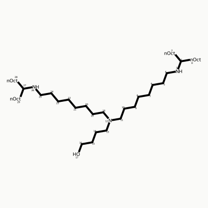 CCCCCCCCC(CCCCCCCC)NCCCCCCCCN(CCCCO)CCCCCCCCNC(CCCCCCCC)CCCCCCCC